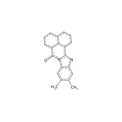 Cc1cc2nc3c4cccc5cccc(c(=O)n3c2cc1C)c54